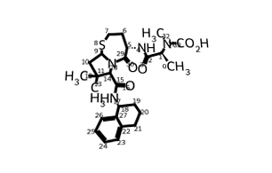 C[C@@H](C(=O)N[C@H]1CCSC2CC(C)(C)C(C(=O)N[C@@H]3CCCc4ccccc43)N2C1=O)N(C)C(=O)O